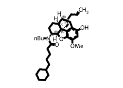 C=CCN1CC[C@]23c4c5c(O)cc(OC)c4O[C@H]2[C@@H](N(CCCC)C(=O)CCCCC2CCCCC2)CC[C@H]3[C@H]1C5